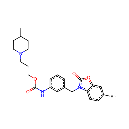 CC(=O)c1ccc2c(c1)oc(=O)n2Cc1cccc(NC(=O)OCCCN2CCC(C)CC2)c1